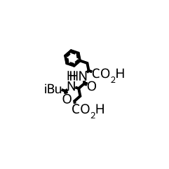 CCC(C)C(=O)NC(CCC(=O)O)C(=O)NC(Cc1ccccc1)C(=O)O